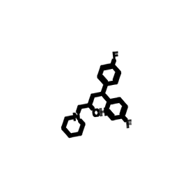 OC(CC(c1ccc(F)cc1)c1ccc(F)cc1)CN1CCCCC1